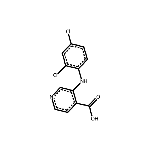 O=C(O)c1ccncc1Nc1ccc(Cl)cc1Cl